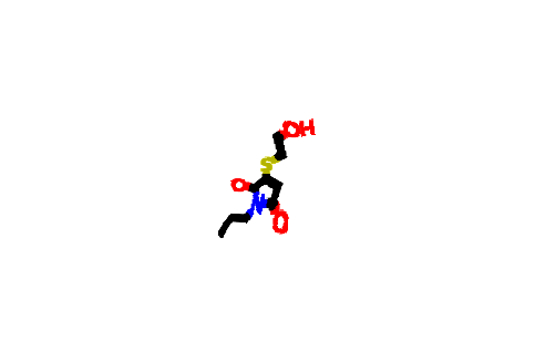 CCCN1C(=O)C=C(SCCO)C1=O